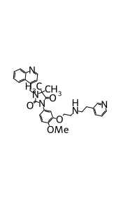 COc1ccc(N2C(=O)N(Cc3ccnc4ccccc34)C(C)(C)C2=O)cc1OCCNCCc1cccnc1